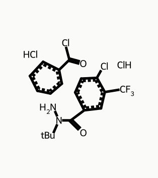 CC(C)(C)N(N)C(=O)c1ccc(Cl)c(C(F)(F)F)c1.Cl.Cl.O=C(Cl)c1ccccc1